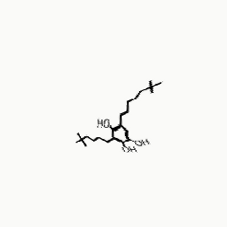 CC(C)(C)CCCCCc1cc(O)c(O)c(CCCCC(C)(C)C)c1O